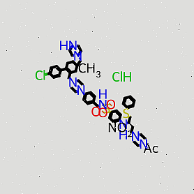 CC(=O)N1CCN(CC[C@H](CSc2ccccc2)Nc2ccc(S(=O)(=O)NC(=O)c3ccc(N4CCN(CC5=C(c6ccc(Cl)cc6)CCC(C)(CN6CCNCC6)C5)CC4)cc3)cc2[N+](=O)[O-])CC1.Cl